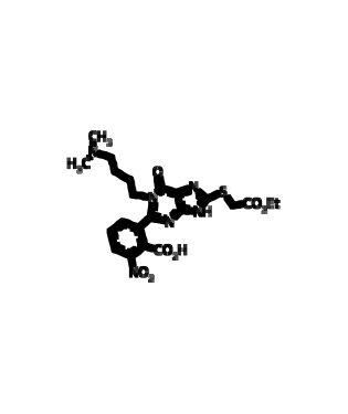 CCOC(=O)CSc1nc2c(=O)n(CCCCN(C)C)c(-c3cccc([N+](=O)[O-])c3C(=O)O)nc2[nH]1